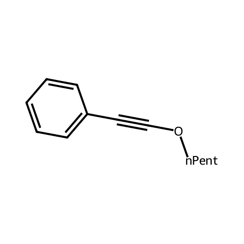 CCCCCOC#Cc1ccccc1